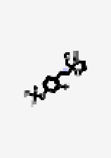 Fc1cc(OC(F)(F)F)ccc1/C=C/C1(CCl)NC=CO1